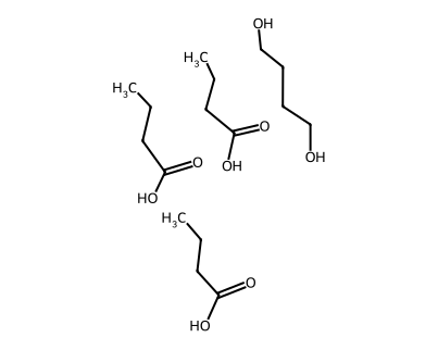 CCCC(=O)O.CCCC(=O)O.CCCC(=O)O.OCCCCO